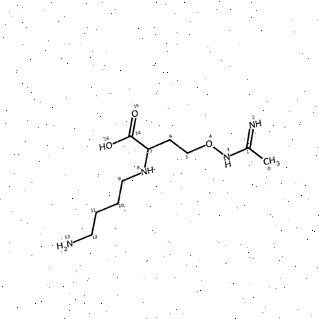 CC(=N)NOCCC(NCCCCN)C(=O)O